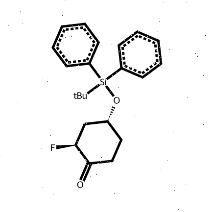 CC(C)(C)[Si](O[C@@H]1CCC(=O)[C@@H](F)C1)(c1ccccc1)c1ccccc1